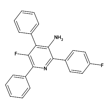 Nc1c(-c2ccc(F)cc2)nc(-c2ccccc2)c(F)c1-c1ccccc1